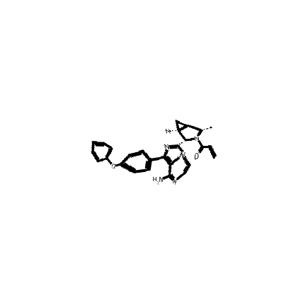 C=CC(=O)N1[C@H](c2nc(-c3ccc(Oc4ccccc4)cc3)c3c(N)nccn23)[C@H]2CC2[C@@H]1C